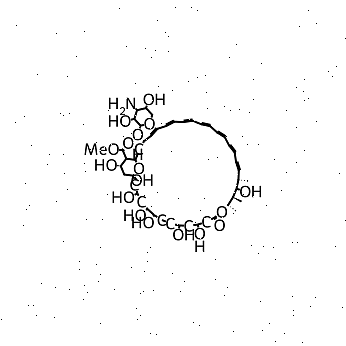 COC(=O)C1[C@@H]2CC(O[C@@H]3OCC(O)[C@H](N)C3O)/C=C/C=C/C=C/C=C/C=C/C=C/C=C/[C@H](C)C(O)[C@@H](C)[C@H](C)OC(=O)CC(O)CC(O)CCC(O)C(O)CC(O)CC(O)(C[C@@H]1O)O2